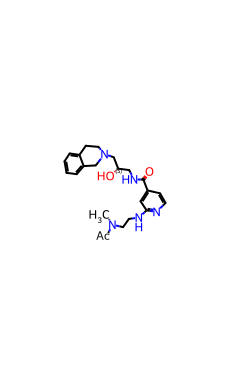 CC(=O)N(C)CCNc1cc(C(=O)NC[C@H](O)CN2CCc3ccccc3C2)ccn1